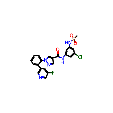 CS(=O)(=O)Nc1cc(Cl)cc(NC(=O)c2cnn(-c3ccccc3-c3cncc(F)c3)c2)c1